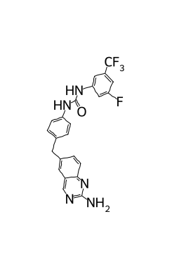 Nc1ncc2cc(Cc3ccc(NC(=O)Nc4cc(F)cc(C(F)(F)F)c4)cc3)ccc2n1